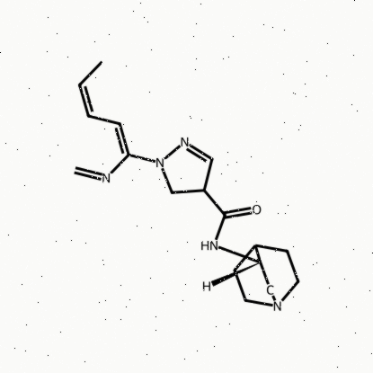 C=N/C(=C\C=C/C)N1CC(C(=O)N[C@H]2CN3CCC2CC3)C=N1